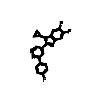 Fc1ccc(-c2cc(-c3nc4cc(F)c(F)cc4n3C3CC3)cnn2)cc1